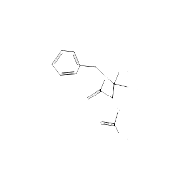 CC(=O)N[C@@H]1C(=O)N(Cc2ccccc2)C1(C)C